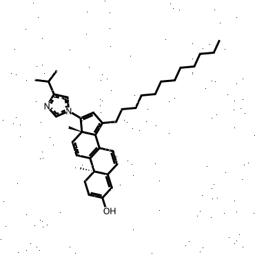 CCCCCCCCCCCCC1=C2C3=C(C=C[C@]2(C)C(n2cnc(C(C)C)c2)=C1)[C@]1(C)CC=C(O)C=C1C=C3